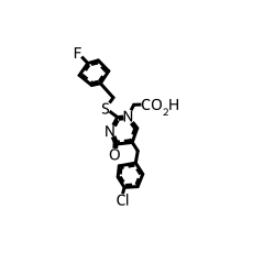 O=C(O)Cn1cc(Cc2ccc(Cl)cc2)c(=O)nc1SCc1ccc(F)cc1